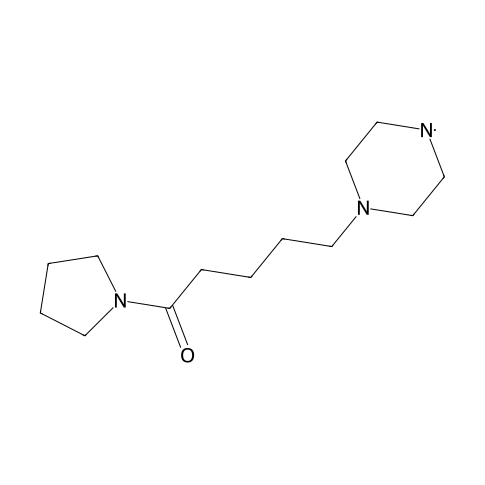 O=C(CCCCN1CC[N]CC1)N1CCCC1